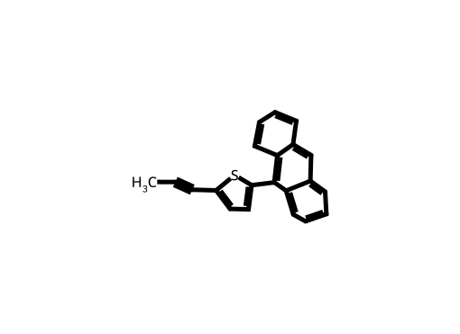 CC#Cc1ccc(-c2c3ccccc3cc3ccccc23)s1